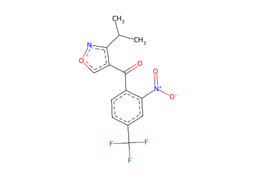 CC(C)c1nocc1C(=O)c1ccc(C(F)(F)F)cc1[N+](=O)[O-]